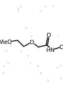 COCCOCC(=O)NCl